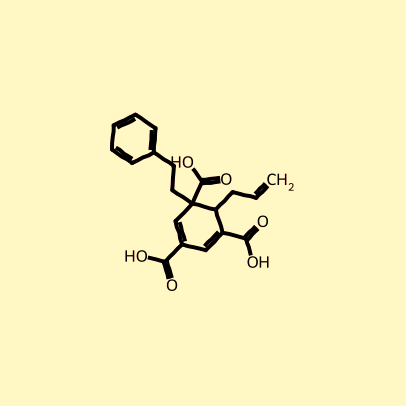 C=CCC1C(C(=O)O)=CC(C(=O)O)=CC1(CCc1ccccc1)C(=O)O